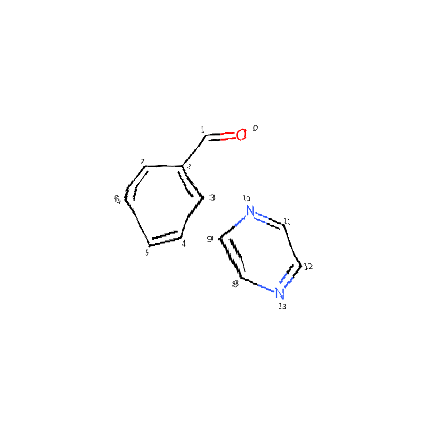 O=Cc1ccccc1.c1cnccn1